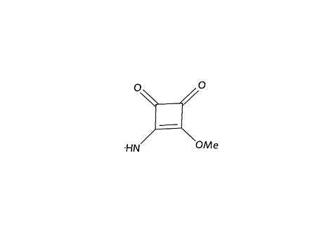 COc1c([NH])c(=O)c1=O